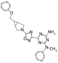 CN(c1ccccc1)c1nc(N)nc(-c2noc(N3CC4C(COc5ccccc5)C4C3)n2)n1